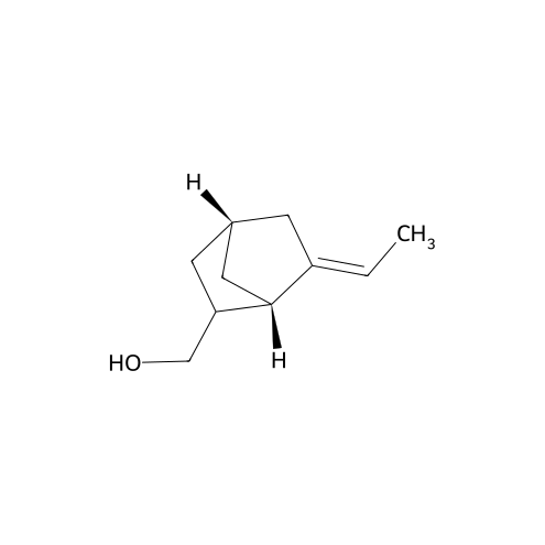 C/C=C1\C[C@H]2CC(CO)[C@@H]1C2